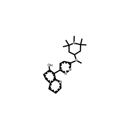 CN(c1ccc(-c2c(O)ccc3cccnc23)nn1)C1CC(C)(C)N(C)C(C)(C)C1